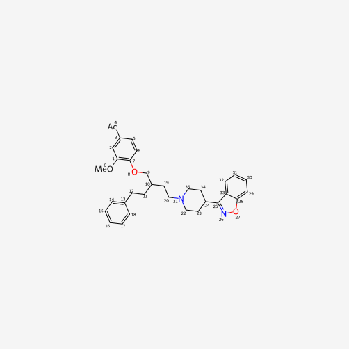 COc1cc(C(C)=O)ccc1OCC(CCc1ccccc1)CCN1CCC(c2noc3ccccc23)CC1